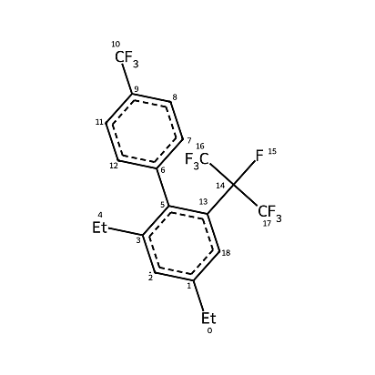 CCc1[c]c(CC)c(-c2ccc(C(F)(F)F)cc2)c(C(F)(C(F)(F)F)C(F)(F)F)c1